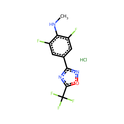 CNc1c(F)cc(-c2noc(C(F)(F)F)n2)cc1F.Cl